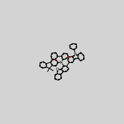 CC1(C)c2ccccc2-c2ccc(N(c3ccccc3-c3ccccc3)c3c(-c4ccc5c(c4)c4ccccc4n5-c4ccccc4)ccc4c3oc3ccccc34)cc21